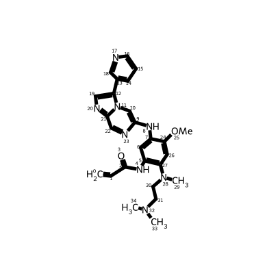 C=CC(=O)Nc1cc(Nc2cn3c(-c4cccnc4)cnc3cn2)c(OC)cc1N(C)CCN(C)C